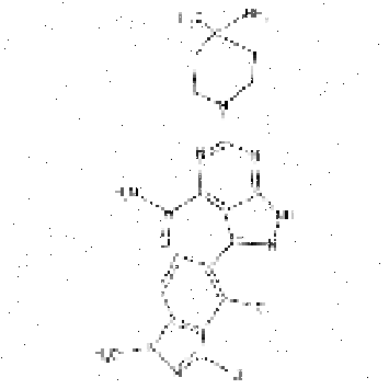 Cn1nc(Cl)c2c(Cl)c(-c3n[nH]c4nc(N5CCC(C)(N)CC5)nc(C(N)=O)c34)ccc21